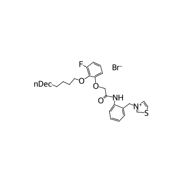 CCCCCCCCCCCCCCOc1c(F)cccc1OCC(=O)Nc1ccccc1C[n+]1ccsc1.[Br-]